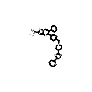 CN(C)c1nc2nc(-c3ccc(CN4CCC(c5n[nH]c(-c6ccccn6)n5)CC4)cc3)c(-c3ccccc3)cn2n1